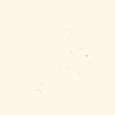 O=C(O)c1c(F)cc(-c2ccc3ncn(Cc4ccc5ncccc5c4)c3n2)cc1F